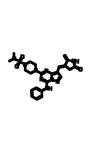 C=C1NC(=O)C/C1=C\c1cnn2c(Nc3ccccc3)nc(N3CCN(S(=O)(=O)N(C)C)CC3)nc12